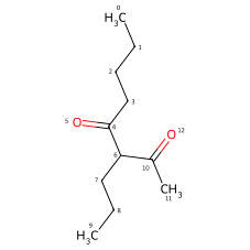 CCCCC(=O)C(CCC)C(C)=O